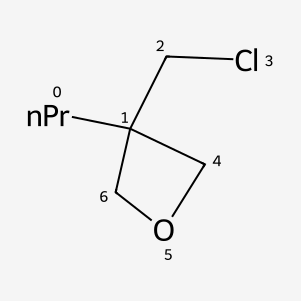 CCCC1(CCl)COC1